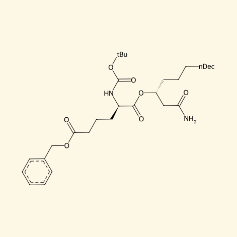 CCCCCCCCCCCCC[C@H](CC(N)=O)OC(=O)[C@@H](CCCC(=O)OCc1ccccc1)NC(=O)OC(C)(C)C